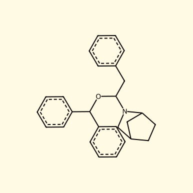 c1ccc(CC(OC(c2ccccc2)c2ccccc2)N2CC3CCC2C3)cc1